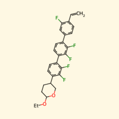 C=Cc1ccc(-c2ccc(-c3ccc(C4CCC(OCC)OC4)c(F)c3F)c(F)c2F)cc1F